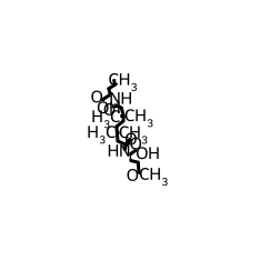 CCCC(NC(=O)CC(C)(C)CCC(C)(C)CC(=O)N[C@H](CCC(C)=O)C(=O)O)C(=O)O